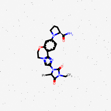 CC(C)C1C(=O)N(CC(F)(F)F)C(=O)N1c1cn2c(n1)-c1ccc(N3CCC[C@H]3C(N)=O)cc1OCC2